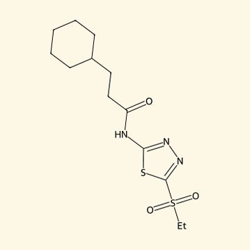 CCS(=O)(=O)c1nnc(NC(=O)CCC2CCCCC2)s1